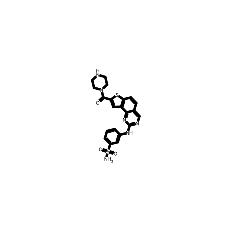 NS(=O)(=O)c1cccc(Nc2ncc3ccc4sc(C(=O)N5CCNCC5)cc4c3n2)c1